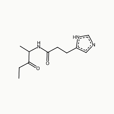 CCC(=O)C(C)NC(=O)CCc1cnc[nH]1